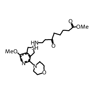 COC(=O)CCCCC(=O)CCN[SH]1Cc2c(OC)cnc(N3CCOCC3)c2C1